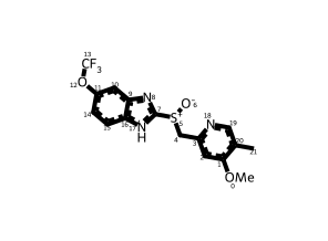 COc1cc(C[S+]([O-])c2nc3cc(OC(F)(F)F)ccc3[nH]2)ncc1C